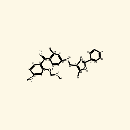 COCOc1cc(OC)ccc1C(=O)c1ccc(OCc2nc(-c3ccccc3)oc2C)cc1C